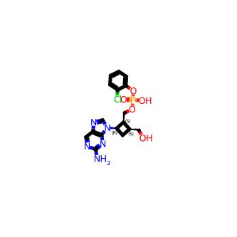 Nc1ncc2ncn([C@@H]3C[C@H](CO)[C@@H]3COP(=O)(O)Oc3ccccc3Cl)c2n1